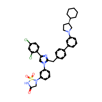 O=C1CN(c2cccc(-n3cc(-c4ccc(Cl)cc4Cl)nc3Cc3ccc(-c4cccc(N5CC[C@@H](C6CCCCC6)C5)c4)cc3)c2)S(=O)(=O)N1